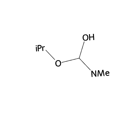 CNC(O)OC(C)C